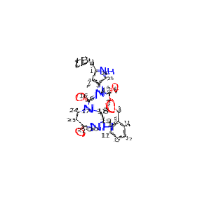 CC(C)(C)c1cc(N(C(=O)OCc2ccccc2)C(=O)N2CCNC(=O)CC2)c[nH]1